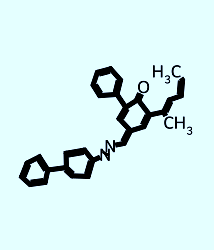 C/C=C\C=C(/C)C1=C/C(=C/N=Nc2ccc(-c3ccccc3)cc2)C=C(c2ccccc2)C1=O